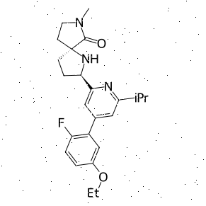 CCOc1ccc(F)c(-c2cc(C(C)C)nc([C@H]3CC[C@@]4(CCN(C)C4=O)N3)c2)c1